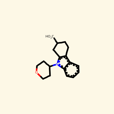 O=C(O)C1CCc2c(n(C3CCOCC3)c3ccccc23)C1